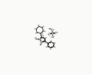 COS(=O)(=O)[O-].Cn1c(-c2ccccc2)cc(C2CCCCC2)[n+]1C